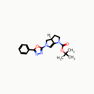 CC(C)(C)OC(=O)N1CC[C@@H]2CN(c3nnc(-c4ccccc4)o3)C=C21